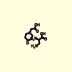 NCC(N)C(=O)O.O=C(O)CN1CCNCC1